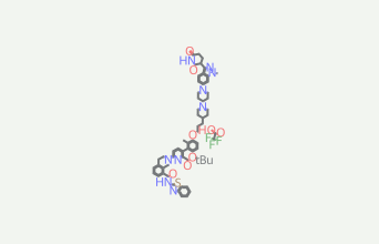 Cc1c(OCCCC2CCN(C3CCN(c4ccc5c(C6CCC(=O)NC6=O)nn(C)c5c4)CC3)CC2)cccc1-c1ccc(N2CCc3cccc(C(=O)Nc4nc5ccccc5s4)c3C2)nc1C(=O)OC(C)(C)C.O=C(O)C(F)(F)F